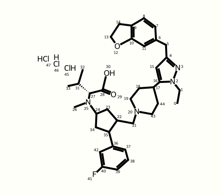 CCn1nc(Cc2ccc3c(c2)OCC3)cc1C1CCN(CC2CC(N(C)[C@@H](C(=O)O)C(C)C)CC2c2cccc(F)c2)CC1.Cl.Cl.Cl